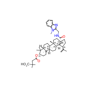 C=C(C)[C@@H]1CC[C@]2(C(=O)NCc3nc4ccccc4n3C)CC[C@]3(C)[C@H](CC[C@@H]4[C@@]5(C)CC[C@H](OC(=O)CC(C)(C)C(=O)O)C(C)(C)[C@@H]5CC[C@]43C)[C@@H]12